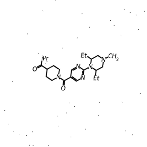 CCC1CN(C)CC(CC)N1c1ncc(C(=O)N2CCC(C(=O)C(C)C)CC2)cn1